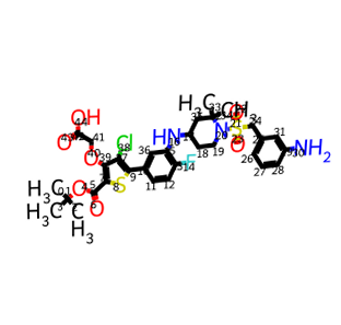 CC(C)(C)OC(=O)c1sc(-c2ccc(F)c(NC3CCN(S(=O)(=O)Cc4cccc(N)c4)C(C)(C)C3)c2)c(Cl)c1OCC(=O)O